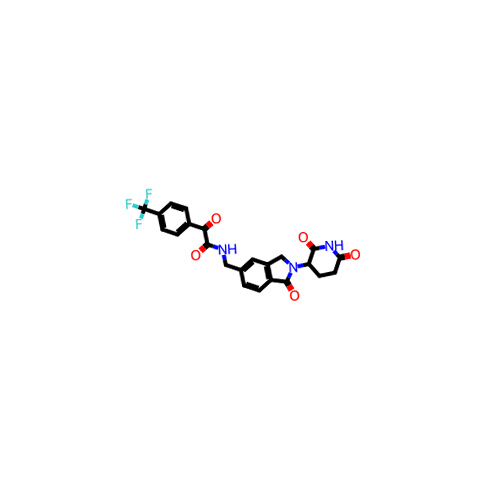 O=C1CCC(N2Cc3cc(CNC(=O)C(=O)c4ccc(C(F)(F)F)cc4)ccc3C2=O)C(=O)N1